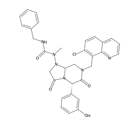 CN(C(=O)NCc1ccccc1)N1CC(=O)N2C1CN(Cc1c(Cl)ccc3cccnc13)C(=O)[C@@H]2c1cccc(O)c1